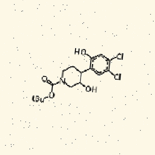 CC(C)(C)OC(=O)N1CCC(c2cc(Cl)c(Cl)cc2O)C(O)C1